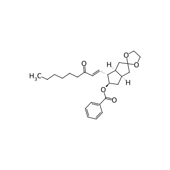 CCCCCCC(=O)/C=C/[C@@H]1[C@H]2CC3(C[C@H]2C[C@H]1OC(=O)c1ccccc1)OCCO3